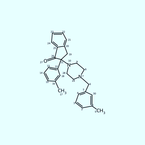 Cc1cccc(CN2CCN(C3(c4cccc(C)c4)Cc4ccccc4C3=O)CC2)c1